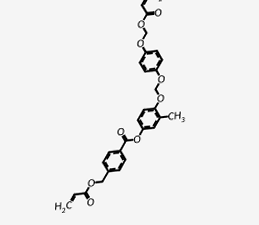 C=CC(=O)OCOc1ccc(OCOc2ccc(OC(=O)c3ccc(COC(=O)C=C)cc3)cc2C)cc1